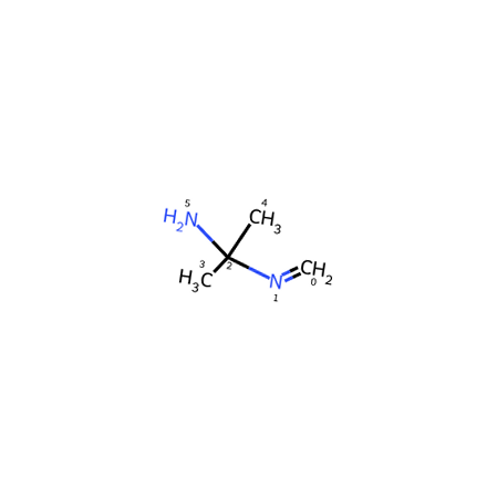 C=NC(C)(C)N